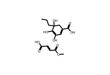 CCCC1(O)CC(C(=O)O)=CC(O)=C1O.COC(=O)/C=C/C(=O)O